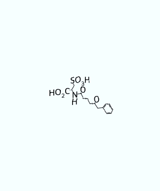 O=C(CCCC(=O)N[C@@H](CS(=O)(=O)O)C(=O)O)Cc1ccccc1